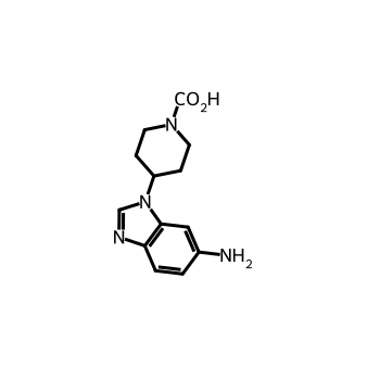 Nc1ccc2ncn(C3CCN(C(=O)O)CC3)c2c1